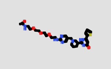 CC(=O)NCCOCCOCCOCCNc1ncc(CN2CCCC(c3nc(=O)cc(-c4cccs4)[nH]3)C2)cn1